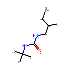 CCC(C)(C)NC(=O)NCC(C)CC(C)C